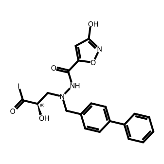 O=C(NN(Cc1ccc(-c2ccccc2)cc1)C[C@@H](O)C(=O)I)c1cc(O)no1